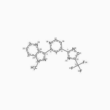 Cn1nc(-c2cc(-c3noc(C(F)(F)F)n3)ccn2)c2ncccc21